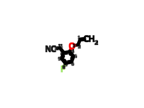 C=CCOc1ccc(F)cc1CC#N